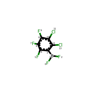 FB(F)c1c(F)c(F)c(F)c(Cl)c1Cl